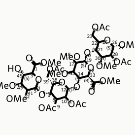 COC(=O)C1O[C@@H](O[C@H]2C(OC(C)=O)C(OC(C)=O)[C@@H](O[C@H]3C(OC)C(OC)[C@@H](O[C@@H]4C(COC(C)=O)O[C@H](OC)C(OC(C)=O)[C@H]4OC)O[C@H]3C(=O)OC)O[C@H]2COC(C)=O)C(OC)[C@@H](OC)[C@@H]1O